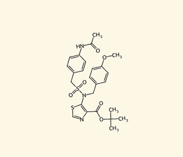 COc1ccc(CN(c2scnc2C(=O)OC(C)(C)C)S(=O)(=O)Cc2ccc(NC(C)=O)cc2)cc1